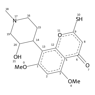 COc1cc(OC)c2c(=O)cc(S)oc2c1C1CCN(C)CC1O